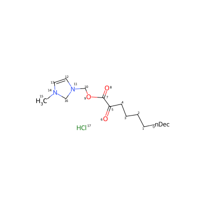 CCCCCCCCCCCCCCC(=O)C(=O)OCN1C=CN(C)C1.Cl